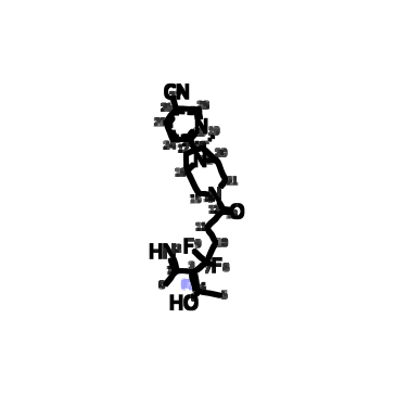 CC(=N)/C(=C(/C)O)C(F)(F)CCC(=O)N1CC2C[C@H](C)C(C1)N2c1ccc(C#N)cn1